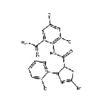 CC(=O)c1cc(Cl)cc(Cl)c1NC(=O)C1CC(Br)=NN1c1ncccc1Cl